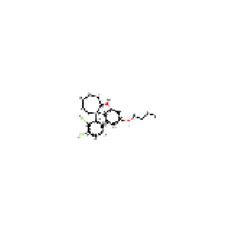 CCCCOc1ccc(C2(c3cccc(F)c3F)CCCCCC2=O)cc1